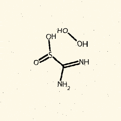 N=C(N)S(=O)O.OO